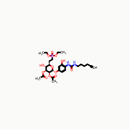 C#CCCCCNC(=O)Nc1ccc(O[C@H]2O[C@H](CCP(=O)(OCC)OCC)[C@@H](O)[C@H](OC(C)=O)[C@@H]2OC(C)=O)cc1O